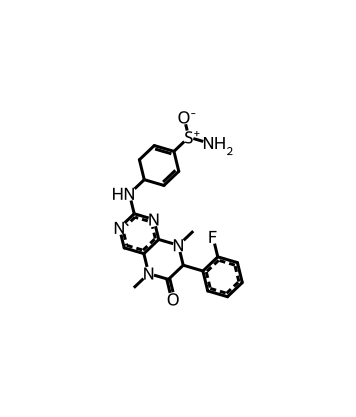 CN1C(=O)C(c2ccccc2F)N(C)c2nc(NC3C=CC([S+](N)[O-])=CC3)ncc21